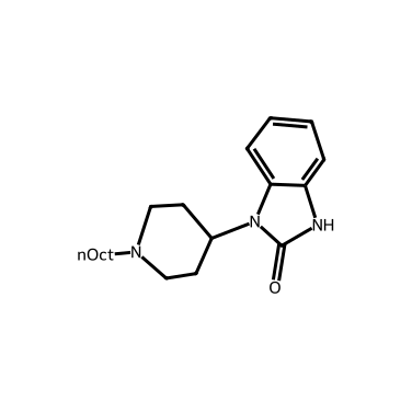 CCCCCCCCN1CCC(n2c(=O)[nH]c3ccccc32)CC1